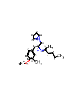 C=C(CCCC(F)(F)F)N[C@@H](Cc1ccc(OCCC)c(C)c1)CN1CCCC1